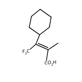 CC(C(=O)O)=C(C1CCCCC1)C(F)(F)F